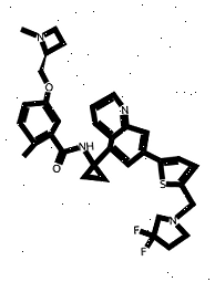 Cc1ccc(OC[C@@H]2CCN2C)cc1C(=O)NC1(c2cc(-c3ccc(CN4CCC(F)(F)C4)s3)cc3ncccc23)CC1